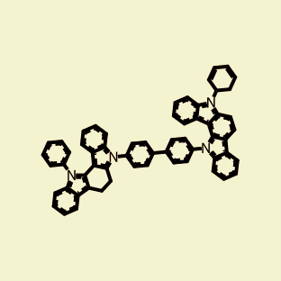 C1=CCC(n2c3ccccc3c3c4c(ccc32)c2ccccc2n4-c2ccc(-c3ccc(-n4c5c(c6ccccc64)-c4c(c6ccccc6n4-c4ccccc4)CC5)cc3)cc2)C=C1